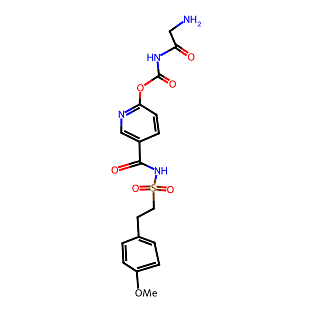 COc1ccc(CCS(=O)(=O)NC(=O)c2ccc(OC(=O)NC(=O)CN)nc2)cc1